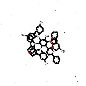 N#Cc1ccc2c(c1)c1ccccc1n2-c1c(C#N)c(-n2c3ccccc3c3cc(C#N)ccc32)c(-n2c3ccccc3c3cc(C#N)ccc32)c(-n2c3ccccc3c3cc(C#N)ccc32)c1-c1ccc(-c2ccccc2)nc1-c1ccccc1